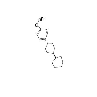 CCCOc1ccc([C@H]2CC[C@H](C3CCCCC3)CC2)cc1